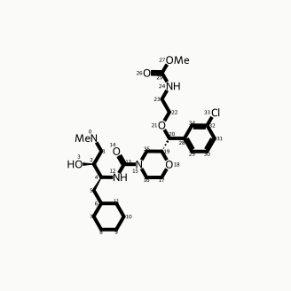 CNC[C@H](O)[C@H](CC1CCCCC1)NC(=O)N1CCO[C@@H](C(OCCNC(=O)OC)c2cccc(Cl)c2)C1